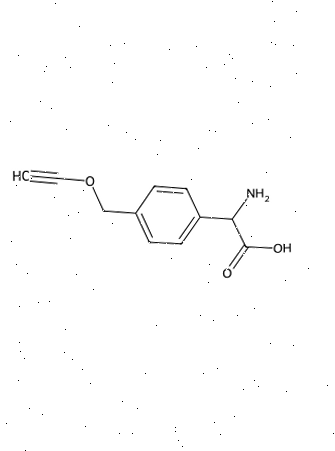 C#COCc1ccc(C(N)C(=O)O)cc1